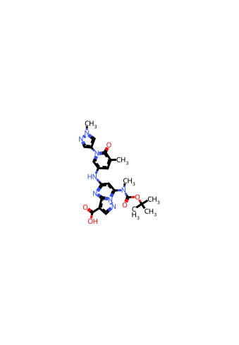 Cc1cc(Nc2cc(N(C)C(=O)OC(C)(C)C)n3ncc(C(=O)O)c3n2)cn(-c2cnn(C)c2)c1=O